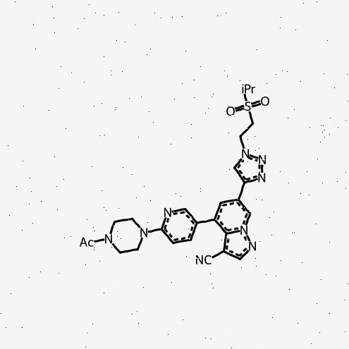 CC(=O)N1CCN(c2ccc(-c3cc(-c4cn(CCS(=O)(=O)C(C)C)nn4)cn4ncc(C#N)c34)cn2)CC1